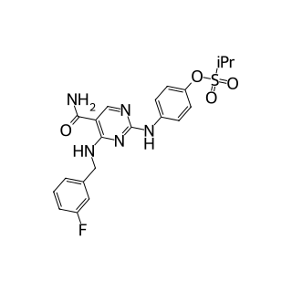 CC(C)S(=O)(=O)Oc1ccc(Nc2ncc(C(N)=O)c(NCc3cccc(F)c3)n2)cc1